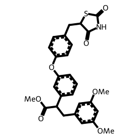 COC(=O)C(Cc1cc(OC)cc(OC)c1)c1cccc(Oc2ccc(CC3SC(=O)NC3=O)cc2)c1